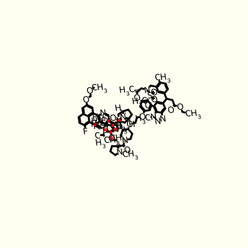 CCOC(=O)CC(c1ccc(C)c(CN2C[C@@H](C)Oc3cc(OCCOC4CCN(C(=O)[C@]5(COc6nc(N7C[C@H]8CC[C@@H](C7)N8C(=O)OC(C)(C)C)c7cnc(-c8cc(OCOC)cc9ccc(F)c(C#C[Si](C(C)C)(C(C)C)C(C)C)c89)c(F)c7n6)CCCN5C)CC4)ccc3S2(=O)=O)c1)c1cc(OC)c2c(c1)nnn2C